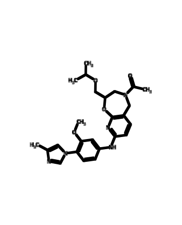 COc1cc(Nc2ccc3c(n2)OC(COC(C)C)CN(C(C)=O)C3)ccc1-n1cnc(C)c1